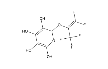 OC1=C(O)C(O)=C(O)C(OC(=C(F)F)C(F)(F)F)O1